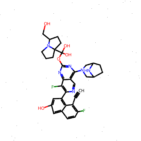 C#Cc1c(F)ccc2cc(O)cc(-c3ncc4c(N5CC6CCC(C5)N6)nc(OC(O)(O)C56CCCN5C(CO)CC6)nc4c3F)c12